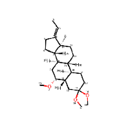 CC=C1CC[C@H]2[C@@H]3C[C@@H](OC)[C@H]4CC(OC)(OC)CC[C@@H]4[C@H]3CC[C@]12C